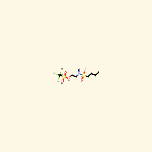 CCCCS(=O)(=O)N(C)CCOS(=O)(=O)C(F)(F)F